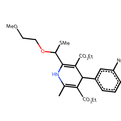 CCOC(=O)C1=C(C)NC(C(OCCOC)SC)=C(C(=O)OCC)C1c1cccc([N+](=O)[O-])c1